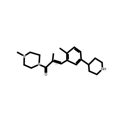 C/C(=C\c1cc(C2CCNCC2)ccc1C)C(=O)N1CCN(C)CC1